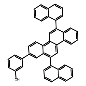 Oc1cccc(-c2ccc3c(c2)c(-c2cccc4ccccc24)cc2c4ccccc4c(-c4cccc5ccccc45)cc32)c1